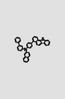 c1ccc(-c2cccc(N(c3ccc(-c4cccc5c4ccc4c6ccccc6sc54)cc3)c3ccc4ccccc4c3)c2)cc1